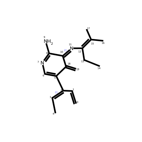 C=C/C(=C\C)C1=CN=C(N)/C(=N/C(CC)=C(C)C)C1=C